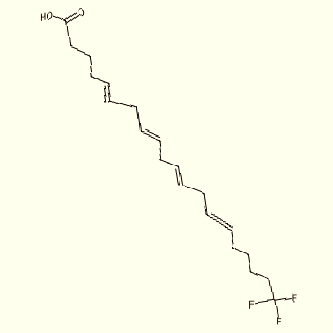 O=C(O)CCCC=CCC=CCC=CCC=CCCCCC(F)(F)F